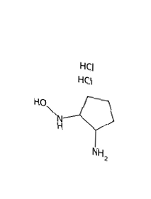 Cl.Cl.NC1CCCC1NO